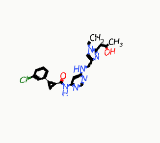 C=Cn1cc(CNc2cc(NC(=O)[C@H]3C[C@@H]3c3cccc(Cl)c3)ncn2)nc1CC(C)O